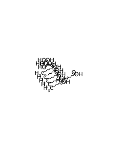 CCCCCCCC(=O)O.CCCCCCCC(=O)O.CCCCCCCC(=O)O.CCCCCCCC(=O)O.CCCCCCCC(=O)O.CCCCCCCC(=O)O.OCC(O)CO.OCC(O)CO